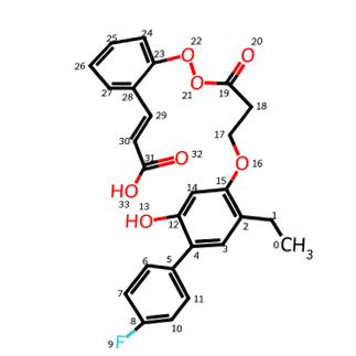 CCc1cc(-c2ccc(F)cc2)c(O)cc1OCCC(=O)OOc1ccccc1/C=C/C(=O)O